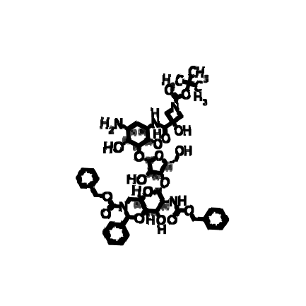 CC(C)(C)OC(=O)N1CC(O)(C(=O)N[C@@H]2C[C@H](N)[C@@H](O)[C@H](O[C@@H]3O[C@H](CO)[C@@H](O[C@H]4O[C@H]5CN(C(=O)OCc6ccccc6)C(c6ccccc6)O[C@H]5[C@H](O)[C@H]4NC(=O)OCc4ccccc4)[C@H]3O)[C@H]2O)C1